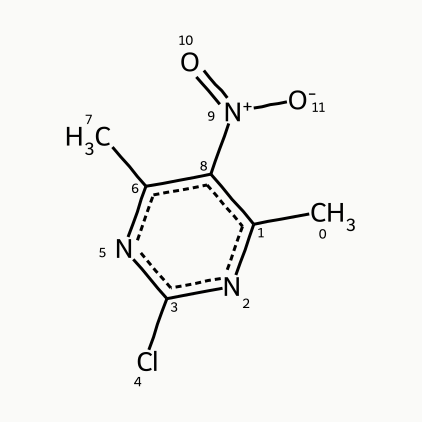 Cc1nc(Cl)nc(C)c1[N+](=O)[O-]